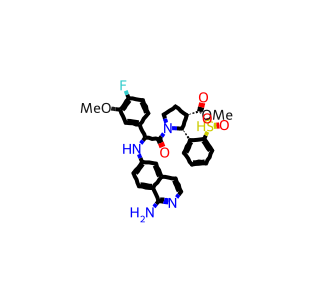 COC(=O)[C@H]1CCN(C(=O)C(Nc2ccc3c(N)nccc3c2)c2ccc(F)c(OC)c2)[C@H]1c1ccccc1[SH](=O)=O